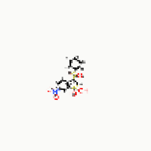 O=[N+]([O-])c1ccc2c(c1)S(O)(O)CC2S(=O)(=O)c1ccccc1